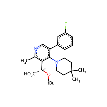 Cc1ncc(-c2cccc(F)c2)c(N2CCC(C)(C)CC2)c1[C@H](OC(C)(C)C)C(=O)O